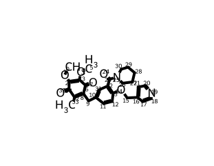 COC1=C(OC)C(=O)C(Cc2ccc(OCc3ccncc3)c(C(=O)N3CCCCC3)c2)=C(C)C1=O